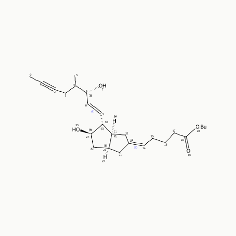 CC#CCC(C)[C@H](O)/C=C/[C@@H]1[C@H]2C/C(=C\CCCC(=O)OCC(C)C)C[C@H]2C[C@H]1O